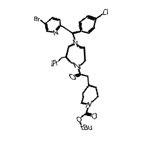 CC(C)[C@H]1CN(C(c2ccc(Cl)cc2)c2ccc(Br)cn2)CCN1C(=O)CC1CCN(C(=O)OC(C)(C)C)CC1